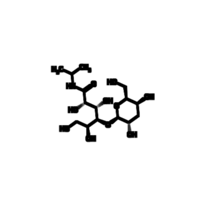 CC(C)NC(=O)[C@@H](O)[C@H](O)[C@@H](O[C@H]1O[C@@H](CO)[C@@H](O)C[C@@H]1O)[C@@H](O)CO